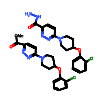 COC(=O)c1ccc(N2CCC(Oc3ccccc3Cl)CC2)nn1.NNC(=O)c1ccc(N2CCC(Oc3ccccc3Cl)CC2)nn1